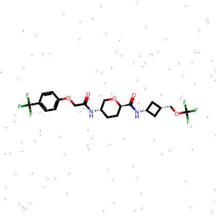 O=C(COc1ccc(C(F)(F)F)cc1)N[C@H]1CC[C@H](C(=O)N[C@H]2C[C@@H](COC(F)(F)F)C2)OC1